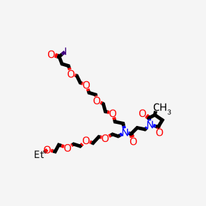 CCOCCOCCOCCOCCN(CCOCCOCCOCCOCCC(=O)I)C(=O)CCN1C(=O)CC(C)C1=O